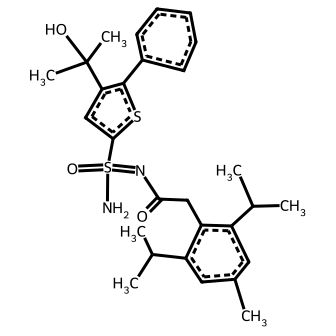 Cc1cc(C(C)C)c(CC(=O)N=S(N)(=O)c2cc(C(C)(C)O)c(-c3ccccc3)s2)c(C(C)C)c1